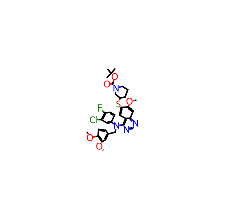 COc1ccc(CN(c2ccc(F)c(Cl)c2)c2ncnc3cc(OC)c(SC4CCCN(C(=O)OC(C)(C)C)C4)cc23)cc1OC